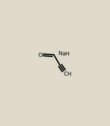 C#CC=O.[NaH]